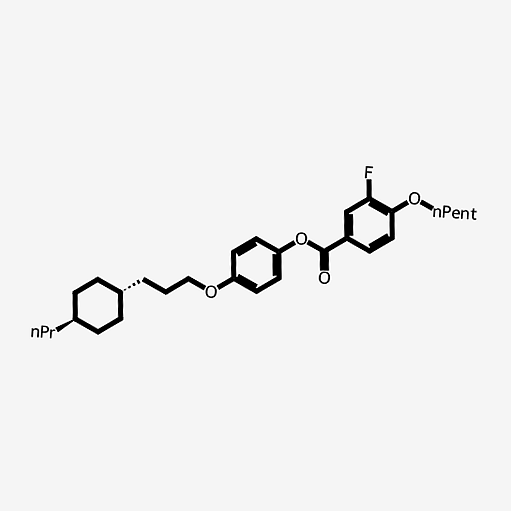 CCCCCOc1ccc(C(=O)Oc2ccc(OCCC[C@H]3CC[C@H](CCC)CC3)cc2)cc1F